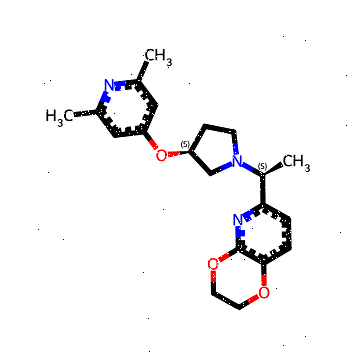 Cc1cc(O[C@H]2CCN([C@@H](C)c3ccc4c(n3)OCCO4)C2)cc(C)n1